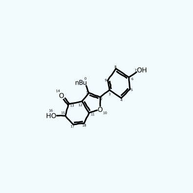 CCCCc1c(-c2ccc(O)cc2)oc2c1C(=O)C(O)C=C2